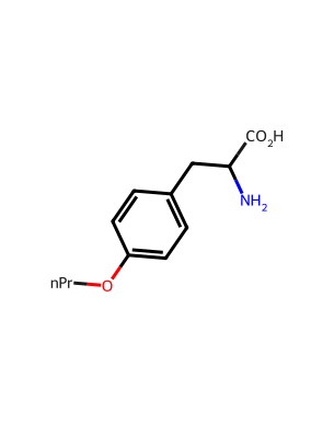 CCCOc1ccc(CC(N)C(=O)O)cc1